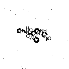 CC(=O)N1CCC(Nc2ccc3c(=O)c(C(=O)NCCN4CCCC4)c4n(C)c5ccccc5n4c3n2)CC1